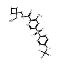 Nc1cc(S(=O)(=O)c2ccc(OC(F)(F)F)cc2)cnc1C(=O)NCC1(CO)CCC1